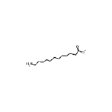 COC(=O)CCCCCCCCCCCN